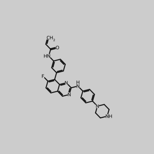 C=CC(=O)Nc1cccc(-c2c(F)ccc3cnc(Nc4ccc(N5CCNCC5)cc4)nc23)c1